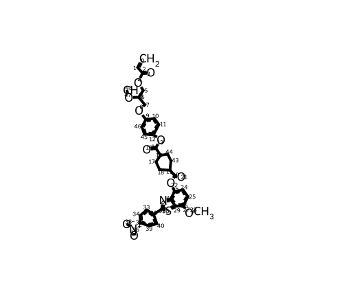 C=CC(=O)OCC(COc1ccc(OC(=O)C2CCC(C(=O)Oc3ccc(OC)c4sc(-c5ccc([N+](=O)[O-])cc5)nc34)CC2)cc1)OC